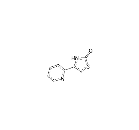 O=c1[nH]c(-c2ccccn2)cs1